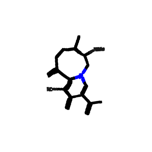 C=C(C)C1=CN2CC(NC)C(C)CCC(=C)C2=C(C#N)C1=C